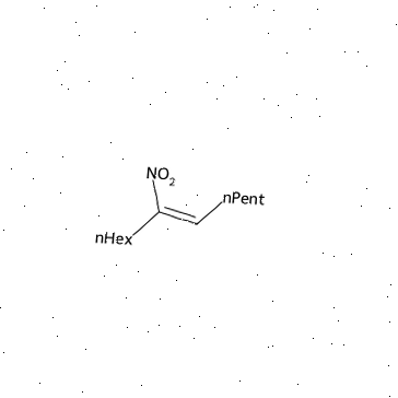 CCCCCC=C(CCCCCC)[N+](=O)[O-]